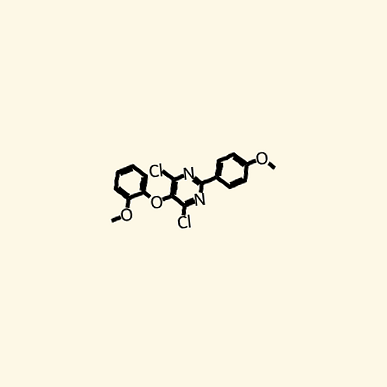 COc1ccc(-c2nc(Cl)c(Oc3ccccc3OC)c(Cl)n2)cc1